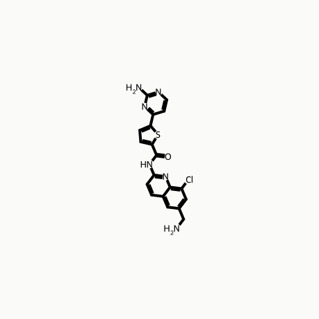 NCc1cc(Cl)c2nc(NC(=O)c3ccc(-c4ccnc(N)n4)s3)ccc2c1